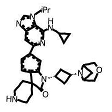 CC(C)n1cnc2cc(-c3ccc4c(c3)N([C@H]3C[C@@H](N5C6COCC5C6)C3)C(=O)C43CCNCC3)nc(NC3CC3)c21